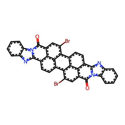 O=c1c2cc(Br)c3c4ccc5c6c(cc(Br)c(c7ccc(c2c73)c2nc3ccccc3n12)c46)c(=O)n1c2ccccc2nc51